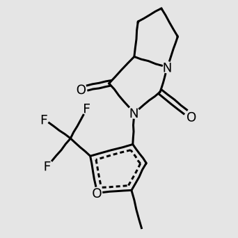 Cc1cc(N2C(=O)C3CCCN3C2=O)c(C(F)(F)F)o1